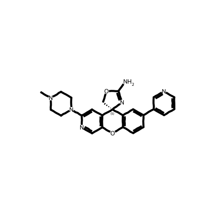 CN1CCN(c2cc3c(cn2)Oc2ccc(-c4cccnc4)cc2[C@@]32COC(N)=N2)CC1